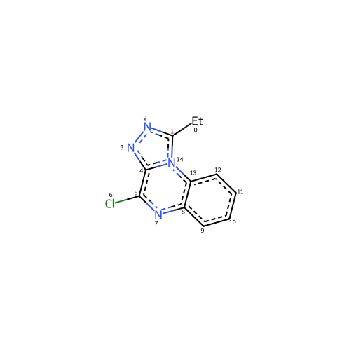 CCc1nnc2c(Cl)nc3ccccc3n12